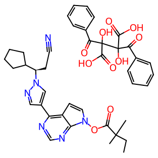 CCC(C)(C)C(=O)On1ccc2c(-c3cnn([C@H](CC#N)C4CCCC4)c3)ncnc21.O=C(O)C(O)(C(=O)c1ccccc1)C(O)(C(=O)O)C(=O)c1ccccc1